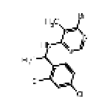 Cc1c(Br)ncnc1NC(C)c1ccc(Cl)cc1Cl